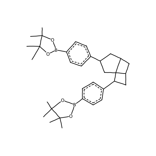 CC1(C)OB(c2ccc(C3CC4CC5CC(c6ccc(B7OC(C)(C)C(C)(C)O7)cc6)C45C3)cc2)OC1(C)C